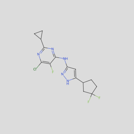 Fc1c(Cl)nc(C2CC2)nc1Nc1cc(C2CCC(F)(F)C2)[nH]n1